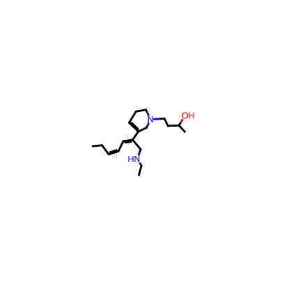 CC/C=C\C=C(/CNCC)C1=CCCN(CCC(C)O)C1